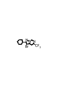 FC(F)(F)c1cc2c(Br)c(-c3ccccc3)nn2cn1